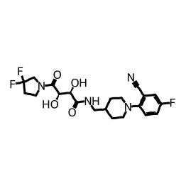 N#Cc1cc(F)ccc1N1CCC(CNC(=O)[C@H](O)[C@@H](O)C(=O)N2CCC(F)(F)C2)CC1